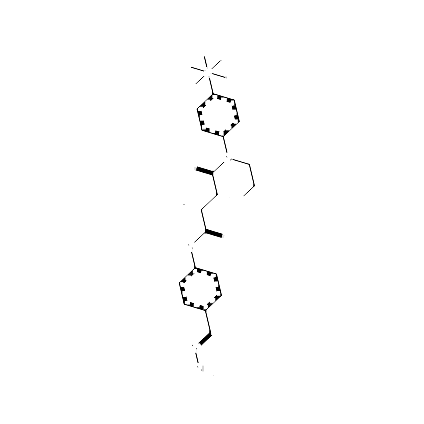 NN=Cc1ccc(NC(=O)[C@H](O)[C@H]2OCCN(c3ccc(S(F)(F)(F)(F)F)cc3)C2=O)cc1